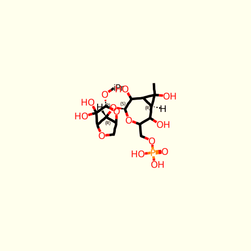 CC(C)O[C@@H]1OC2COC([C@@H]2O[C@@H]2OC(COP(=O)(O)O)C(O)[C@H]3C(C2O)C3(C)O)C1(O)O